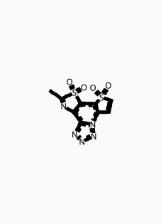 CC1=Nc2c(c3c(n4nnnc24)C=CS3(=O)=O)S1(=O)=O